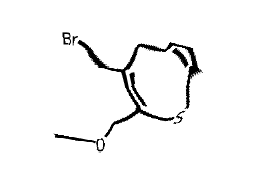 COc1sccc1Br